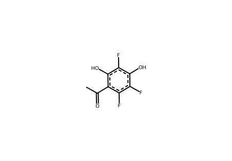 CC(=O)c1c(O)c(F)c(O)c(F)c1F